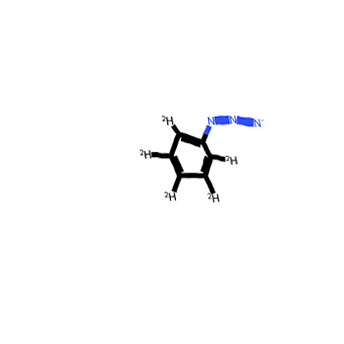 [2H]c1c([2H])c([2H])c(N=[N+]=[N-])c([2H])c1[2H]